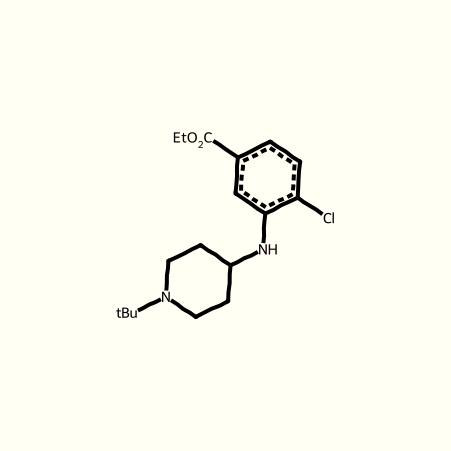 CCOC(=O)c1ccc(Cl)c(NC2CCN(C(C)(C)C)CC2)c1